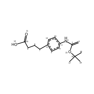 C=C(Nc1ccc(CCCC(=O)O)cc1)OC(C)(C)C